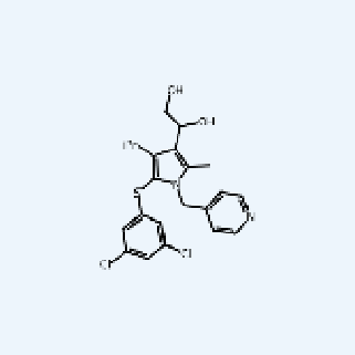 Cc1c(C(O)CO)c(C(C)C)c(Sc2cc(Cl)cc(Cl)c2)n1Cc1ccncc1